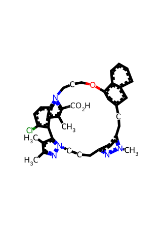 Cc1nn2c(c1C)-c1c(Cl)ccc3c1c(C)c(C(=O)O)n3CCCOc1cc(cc3ccccc13)CCc1cc(nn1C)CCC2